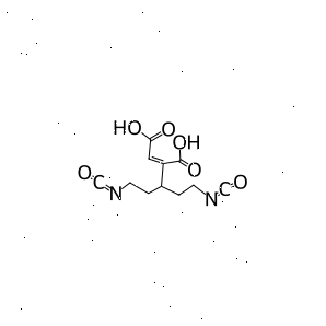 O=C=NCCC(CCN=C=O)C(=CC(=O)O)C(=O)O